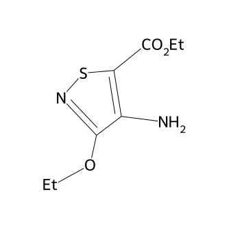 CCOC(=O)c1snc(OCC)c1N